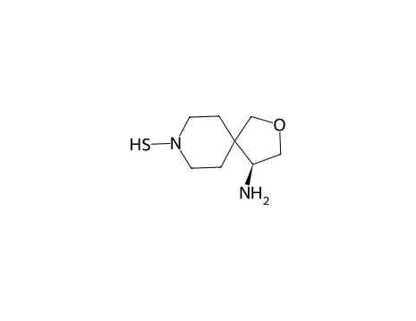 N[C@@H]1COCC12CCN(S)CC2